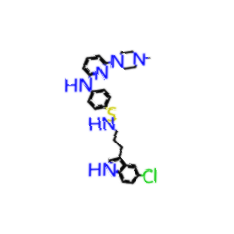 CN1CCN(c2cccc(Nc3ccc(SNCCCc4c[nH]c5ccc(Cl)cc45)cc3)n2)CC1